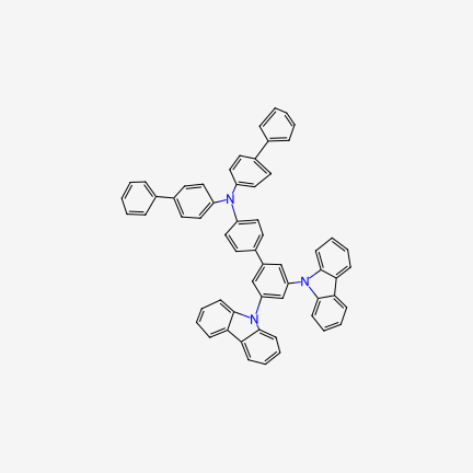 c1ccc(-c2ccc(N(c3ccc(-c4ccccc4)cc3)c3ccc(-c4cc(-n5c6ccccc6c6ccccc65)cc(-n5c6ccccc6c6ccccc65)c4)cc3)cc2)cc1